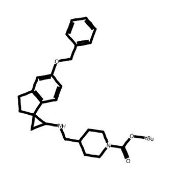 CC(C)(C)OC(=O)N1CCC(CNC2CC23CCc2cc(OCc4ccccc4)ccc23)CC1